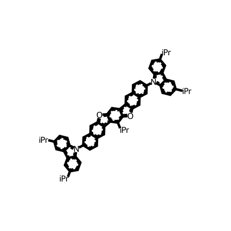 CC(C)c1ccc2c(c1)c1cc(C(C)C)ccc1n2-c1ccc2cc3c(cc2c1)oc1c(C(C)C)c2c(cc13)oc1cc3cc(-n4c5ccc(C(C)C)cc5c5cc(C(C)C)ccc54)ccc3cc12